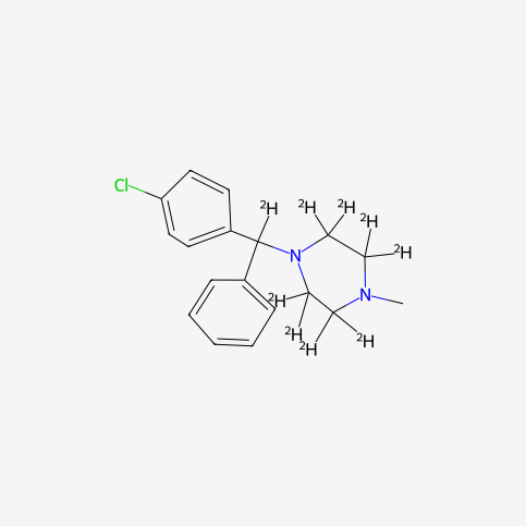 [2H]C(c1ccccc1)(c1ccc(Cl)cc1)N1C([2H])([2H])C([2H])([2H])N(C)C([2H])([2H])C1([2H])[2H]